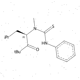 CC(C)C[C@H](C(=O)C(C)(C)C)N(C)C(=S)Nc1ccccc1